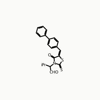 CC(C)C(C=O)N1C(=O)/C(=C\c2ccc(-c3ccccc3)cc2)SC1=S